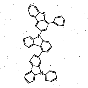 c1ccc(-c2cc(-n3c4ccccc4c4c(-c5ccc6c7ccccc7n(-c7ccccc7)c6c5)cccc43)cc3c2sc2ccccc23)cc1